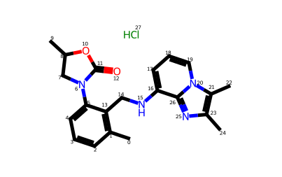 Cc1cccc(N2CC(C)OC2=O)c1CNc1cccn2c(C)c(C)nc12.Cl